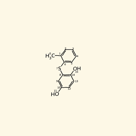 Cc1ccccc1Sc1cc(O)ccc1O